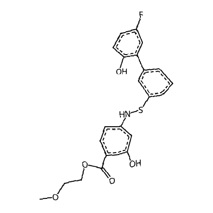 COCCOC(=O)c1ccc(NSc2cccc(-c3cc(F)ccc3O)c2)cc1O